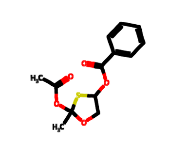 CC(=O)OC1(C)OCC(OC(=O)c2ccccc2)S1